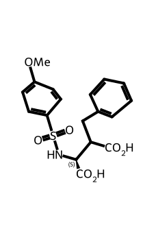 COc1ccc(S(=O)(=O)N[C@H](C(=O)O)C(Cc2ccccc2)C(=O)O)cc1